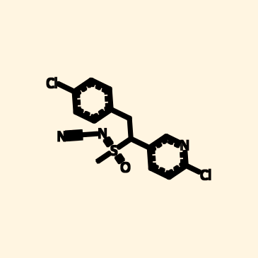 CS(=O)(=NC#N)C(Cc1ccc(Cl)cc1)c1ccc(Cl)nc1